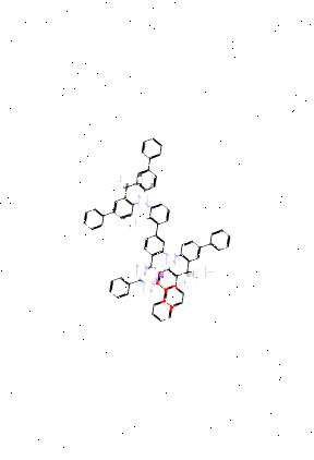 CC1(C)c2cc(-c3ccccc3)ccc2N(c2cc(-c3cccc(N4c5ccc(-c6ccccc6)cc5C(C)(C)c5cc(-c6ccccc6)ccc54)c3C#N)ccc2-c2nc(-c3ccccc3)nc(-c3ccccc3)n2)c2ccc(-c3ccccc3)cc21